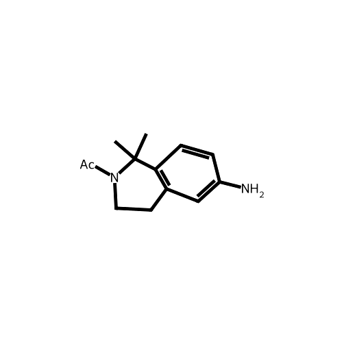 CC(=O)N1CCc2cc(N)ccc2C1(C)C